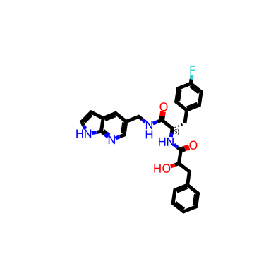 O=C(N[C@@H](Cc1ccc(F)cc1)C(=O)NCc1cnc2[nH]ccc2c1)C(O)Cc1ccccc1